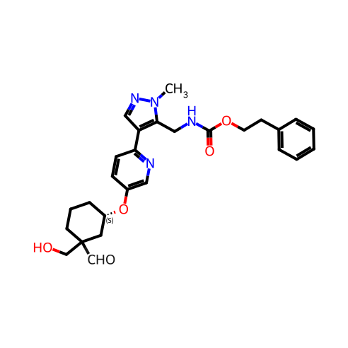 Cn1ncc(-c2ccc(O[C@H]3CCCC(C=O)(CO)C3)cn2)c1CNC(=O)OCCc1ccccc1